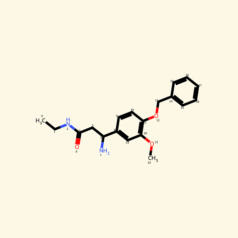 CCNC(=O)CC(N)c1ccc(OCc2ccccc2)c(OC)c1